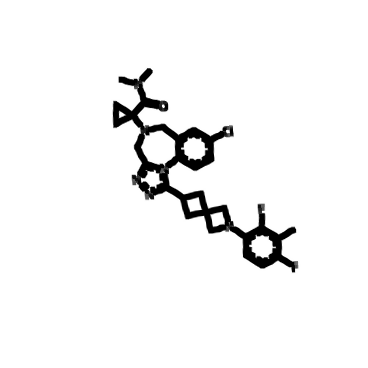 Cc1c(F)ccc(N2CC3(CC(c4nnc5n4-c4ccc(Cl)cc4CN(C4(C(=O)N(C)C)CC4)C5)C3)C2)c1F